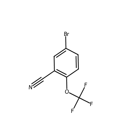 N#Cc1cc(Br)ccc1OC(F)(F)F